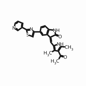 CC(=O)c1c(C)[nH]c(/C=C2\C(=O)Nc3ccc(-c4csc(-c5cccnc5)n4)cc32)c1C